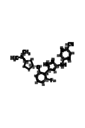 CN(C)[C@@H]1CC[C@@H](Oc2cccc(F)c2-c2cc(Nc3cnc(C#N)cn3)n[nH]2)C1